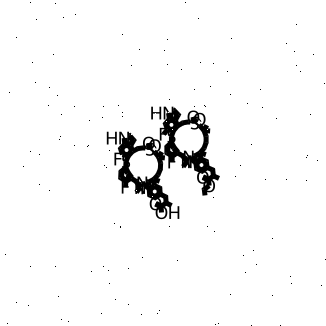 CC(Cc1cccc(C2(C)CCCC(C)(C)CS(=O)(=O)CCc3c(c(F)cc4[nH]ccc34)Sc3ccc(F)c(c3)-c3nc2nn3C)c1)C(=O)O.CCOC(=O)C(C)Cc1cccc(C2(C)CCCC(C)(C)CS(=O)(=O)CCc3c(c(F)cc4[nH]ccc34)Sc3ccc(F)c(c3)-c3nc2nn3C)c1